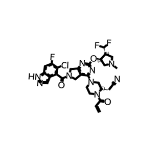 C=CC(=O)N1CCN(c2nc(O[C@@H]3CN(C)C[C@H]3C(F)F)nc3c2CN(C(=O)c2c(Cl)c(F)cc4[nH]ncc24)C3)C[C@@H]1CC#N